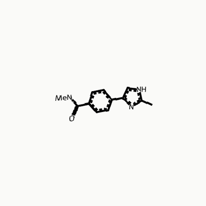 CNC(=O)c1ccc(-c2c[nH]c(C)n2)cc1